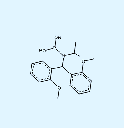 COc1ccccc1C(c1ccccc1OC)N(C(C)C)P(O)O